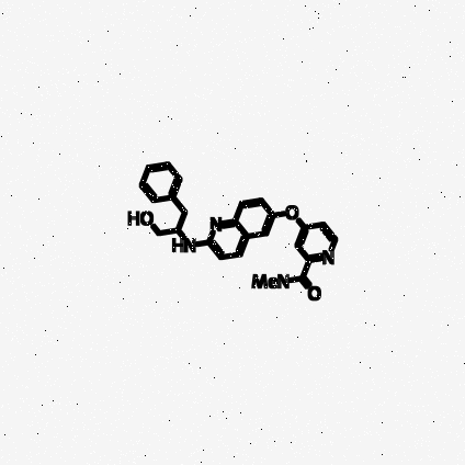 CNC(=O)c1cc(Oc2ccc3nc(NC(CO)Cc4ccccc4)ccc3c2)ccn1